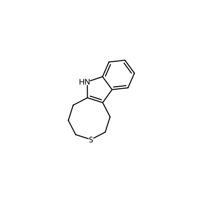 c1ccc2c3c([nH]c2c1)CCCSCC3